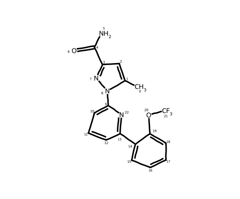 Cc1cc(C(N)=O)nn1-c1cccc(-c2ccccc2OC(F)(F)F)n1